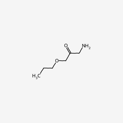 CCCOCC(=O)CN